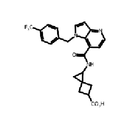 O=C(NC1CC12CC(C(=O)O)C2)c1ccnc2ccn(Cc3ccc(C(F)(F)F)cc3)c12